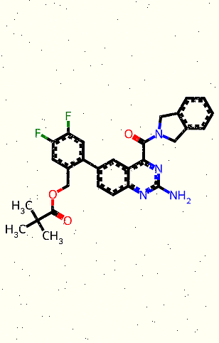 CC(C)(C)C(=O)OCc1cc(F)c(F)cc1-c1ccc2nc(N)nc(C(=O)N3Cc4ccccc4C3)c2c1